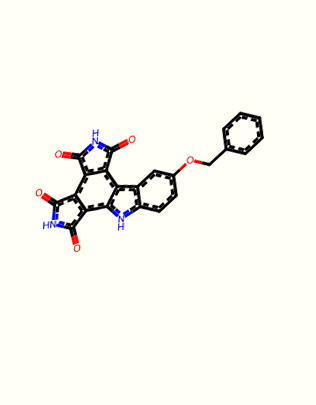 O=c1[nH]c(=O)c2c1c1[nH]c3ccc(OCc4ccccc4)cc3c1c1c(=O)[nH]c(=O)c21